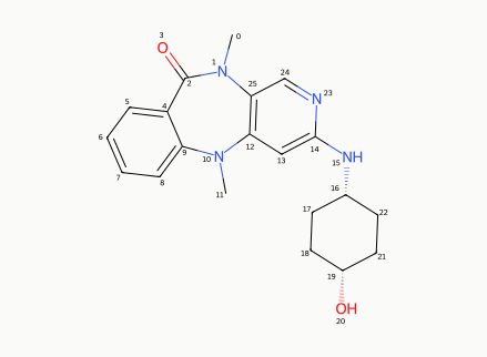 CN1C(=O)c2ccccc2N(C)c2cc(N[C@H]3CC[C@@H](O)CC3)ncc21